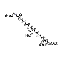 CCCCCC/C=C\CC(=O)OCCCCCCCN(CCO)CCCCCCCC(=O)OC(CCCCCCCC)CCCCCCCC